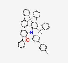 Cc1ccc(-c2ccc(N(c3cc4c(c5c3C(C)(C)c3ccccc3-5)-c3ccccc3C43c4ccccc4-c4ccccc43)c3cccc4c3oc3ccccc34)cc2)cc1